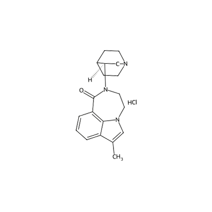 Cc1cn2c3c(cccc13)C(=O)N([C@@H]1CN3CCC1CC3)CC2.Cl